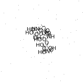 CC(=O)NC1[C@H](COC[C@H]2C(CO)O[C@@H](COC[C@@H]3C(CO)O[C@@H](O)C(NC(C)=O)[C@H]3O)C(NC(C)=O)[C@H]2OS(=O)(=O)c2ccc(C)cc2)OC(CO)[C@@H](O)[C@@H]1O